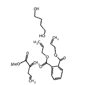 C=CCC(=C)C(=O)OC.C=CCOC(=O)c1ccccc1C(=O)OCC=C.OCCCCO